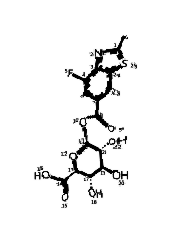 Cc1nc2c(F)cc(C(=O)O[C@@H]3O[C@H](C(=O)O)[C@@H](O)[C@H](O)[C@H]3O)cc2s1